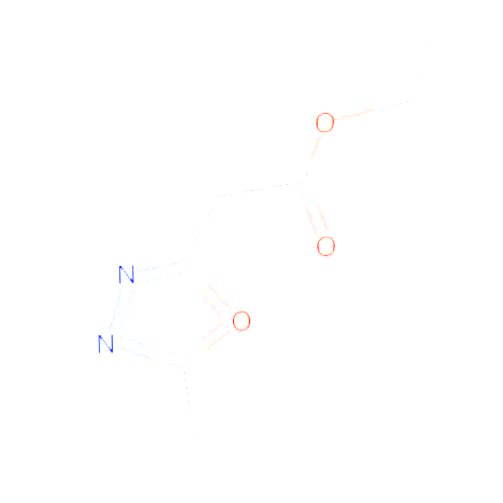 CCOC(=O)Cc1nnc(C)o1